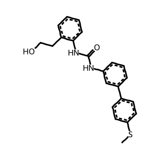 CSc1ccc(-c2cccc(NC(=O)Nc3ccccc3CCO)c2)cc1